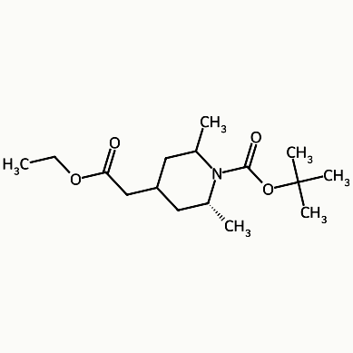 CCOC(=O)CC1CC(C)N(C(=O)OC(C)(C)C)[C@H](C)C1